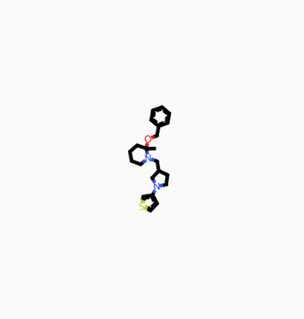 CC1(OCc2ccccc2)CCCCN1CC1CCN(c2ccsc2)C1